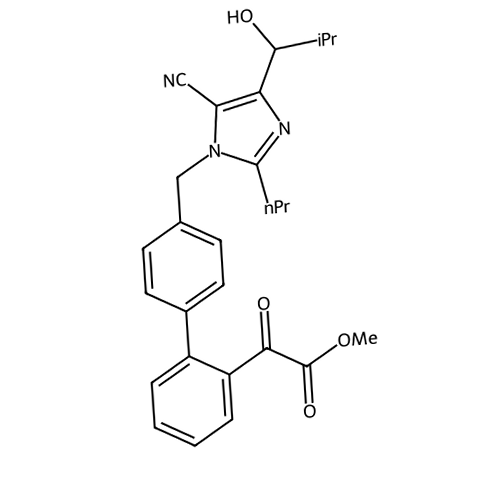 CCCc1nc(C(O)C(C)C)c(C#N)n1Cc1ccc(-c2ccccc2C(=O)C(=O)OC)cc1